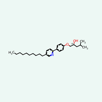 CCCCCCCCCCc1ccc(-c2ccc(OC[C@@H](O)CC(C)C)cc2)nc1